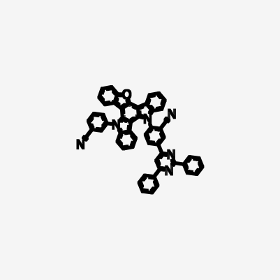 N#Cc1cccc(-n2c3ccccc3c3c4c(c5ccccc5n4-c4ccc(-c5cc(-c6ccccc6)nc(-c6ccccc6)n5)cc4C#N)c4oc5ccccc5c4c32)c1